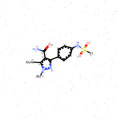 CCS(=O)(=O)Nc1ccc(-c2nn(C(C)(C)C)c(NC)c2C(N)=O)cc1